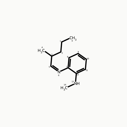 CCCC(C)/C=N\c1ccccc1NC